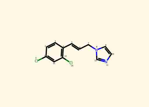 Clc1ccc(C=CCn2ccnc2)c(Cl)c1